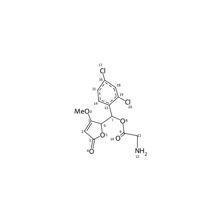 COC1=CC(=O)OC1C(OC(=O)CN)c1ccc(Cl)cc1Cl